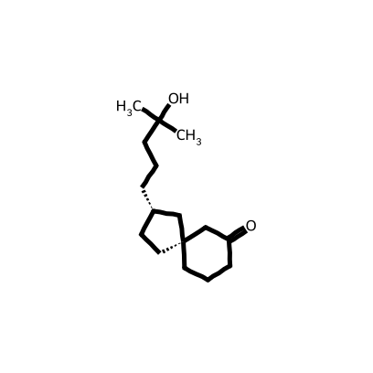 CC(C)(O)CCC[C@H]1CC[C@]2(CCCC(=O)C2)C1